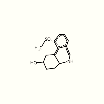 CS(=O)(=O)O.OC1CCC2NC=c3ccccc3=C2C1